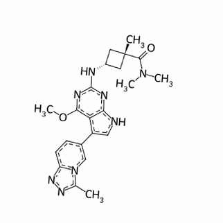 COc1nc(N[C@H]2C[C@@](C)(C(=O)N(C)C)C2)nc2[nH]cc(-c3ccc4nnc(C)n4c3)c12